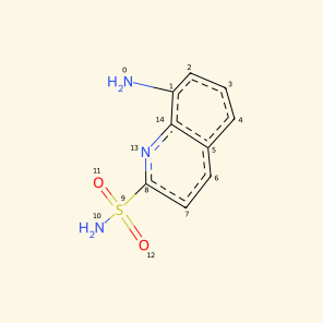 Nc1cccc2ccc(S(N)(=O)=O)nc12